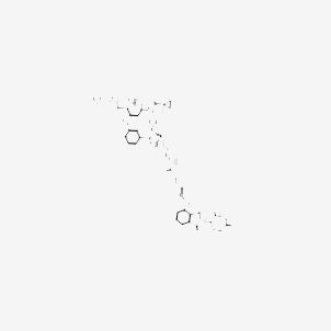 CNC(=O)c1nnc(NC(=O)C2CC2)cc1Nc1cccc(-c2ncn(CCNC(=O)CCCCNc3cccc4c3C(=O)N(C3CCC(=O)NC3=O)C4=O)n2)c1OC